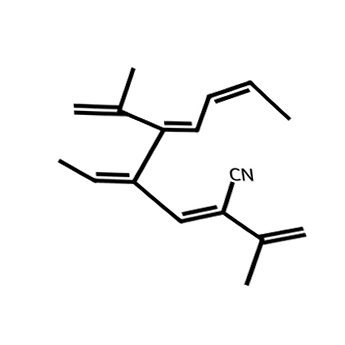 C=C(C)/C(C#N)=C/C(=C/C)C(=C/C=C\C)/C(=C)C